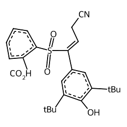 CC(C)(C)c1cc(C(=CCC#N)S(=O)(=O)c2ccccc2C(=O)O)cc(C(C)(C)C)c1O